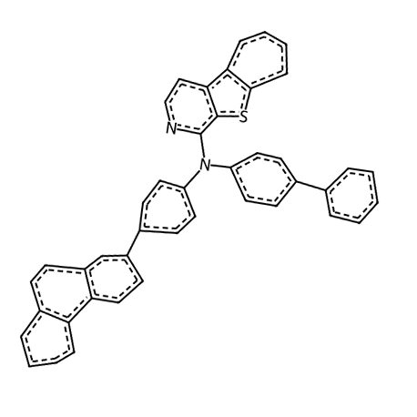 c1ccc(-c2ccc(N(c3ccc(-c4ccc5c(ccc6ccccc65)c4)cc3)c3nccc4c3sc3ccccc34)cc2)cc1